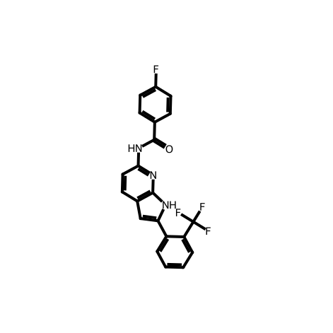 O=C(Nc1ccc2cc(-c3ccccc3C(F)(F)F)[nH]c2n1)c1ccc(F)cc1